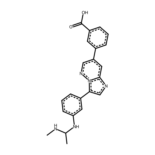 CNC(C)Nc1cccc(-c2cnc3cc(-c4cccc(C(=O)O)c4)cnn23)c1